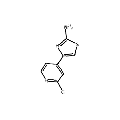 Nc1nc(-c2ccnc(Cl)c2)cs1